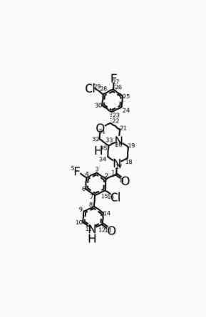 O=C(c1cc(F)cc(-c2cc[nH]c(=O)c2)c1Cl)N1CCN2C[C@@H](c3ccc(F)c(Cl)c3)OC[C@@H]2C1